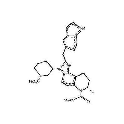 COC(=O)N1c2ccc3c(nc(Cc4ccc5[nH]ccc5c4)n3[C@@H]3CCC[C@@H](C(=O)O)C3)c2CC[C@@H]1C